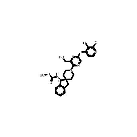 CC(C)(C)OC(=O)N[C@@H]1c2ccccc2CC12CCN(c1ncc(Sc3ccnc(Cl)c3Cl)nc1CO)CC2